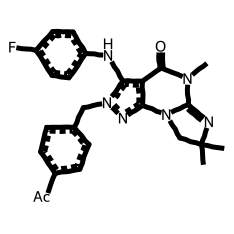 CC(=O)c1ccc(Cn2nc3c(c2Nc2ccc(F)cc2)C(=O)N(C)C2=NC(C)(C)CN23)cc1